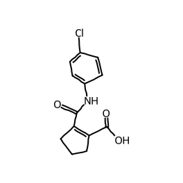 O=C(O)C1=C(C(=O)Nc2ccc(Cl)cc2)CCC1